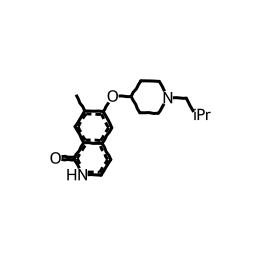 Cc1cc2c(=O)[nH]ccc2cc1OC1CCN(CC(C)C)CC1